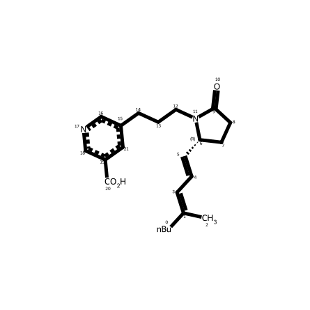 CCCCC(C)=CC=C[C@H]1CCC(=O)N1CCCc1cncc(C(=O)O)c1